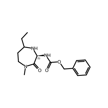 CCC1CCN(C)C(=O)[C@H](NC(=O)OCc2ccccc2)N1